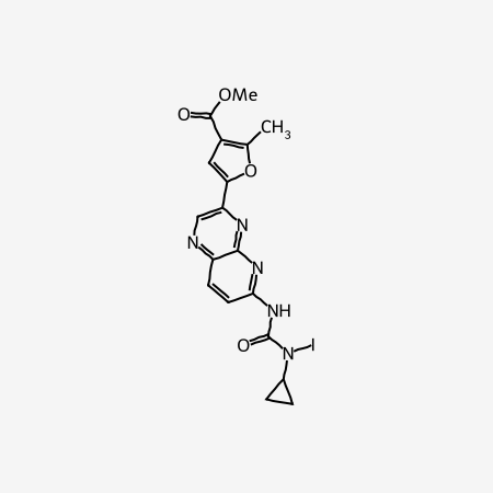 COC(=O)c1cc(-c2cnc3ccc(NC(=O)N(I)C4CC4)nc3n2)oc1C